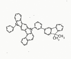 CC1(C)c2ccccc2-c2cc(-c3cccc(-n4c5cc6c7ccccc7n(-c7ccccc7)c6cc5c5c6ccccc6ccc54)c3)ccc21